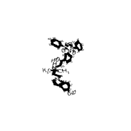 CC(C)(CCn1ccc2cc(C=O)ccc21)NC[C@H](O)c1cccc(N(S(=O)(=O)c2ccccc2)S(=O)(=O)c2ccccc2)c1